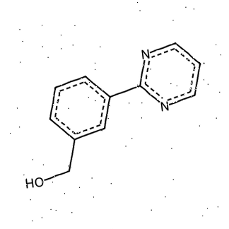 OCc1cccc(-c2nc[c]cn2)c1